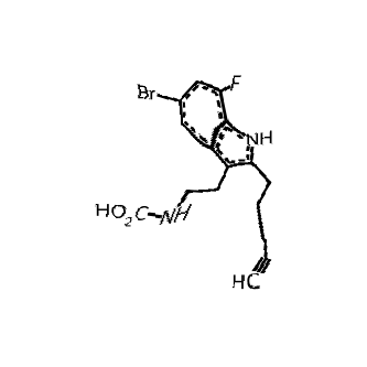 C#CCCCc1[nH]c2c(F)cc(Br)cc2c1CCNC(=O)O